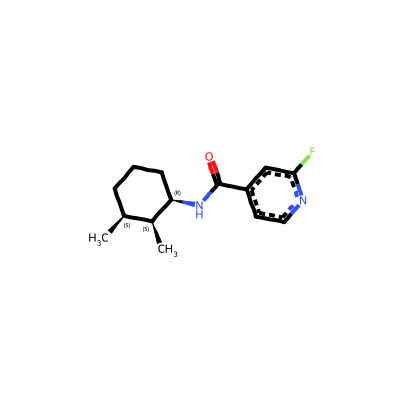 C[C@H]1[C@@H](C)CCC[C@H]1NC(=O)c1ccnc(F)c1